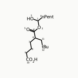 CCCCCC(O)OC(=O)C(CCCC(=O)O)CC(C)(C)C